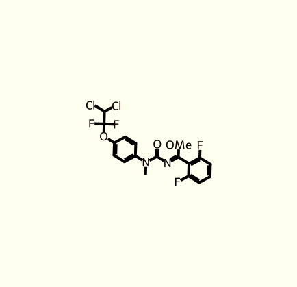 COC(=NC(=O)N(C)c1ccc(OC(F)(F)C(Cl)Cl)cc1)c1c(F)cccc1F